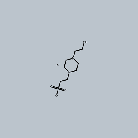 O=S(=O)([O-])CCN1CCN(CCO)CC1.[K+]